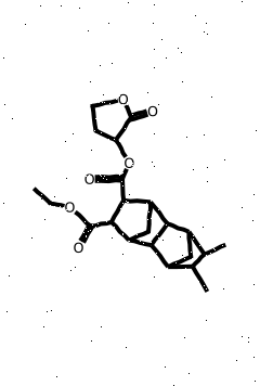 CCOC(=O)C1C2CC(C1C(=O)OC1CCOC1=O)C1C3CC(C(C)C3C)C21